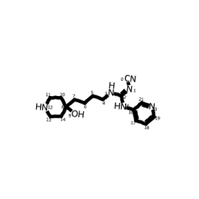 N#C/N=C(\NCCCCC1(O)CCNCC1)Nc1cccnc1